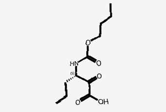 CCCCOC(=O)N[C@@H](CCC)C(=O)C(=O)O